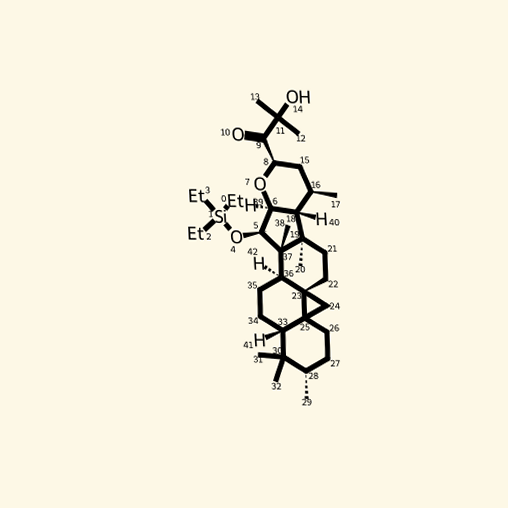 CC[Si](CC)(CC)O[C@H]1[C@H]2O[C@@H](C(=O)C(C)(C)O)C[C@@H](C)[C@@H]2[C@@]2(C)CC[C@@]34CC35CC[C@H](C)C(C)(C)[C@@H]5CC[C@H]4[C@]12C